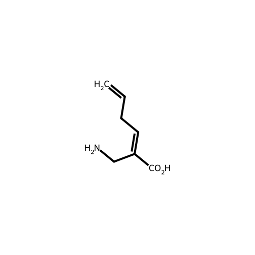 C=CCC=C(CN)C(=O)O